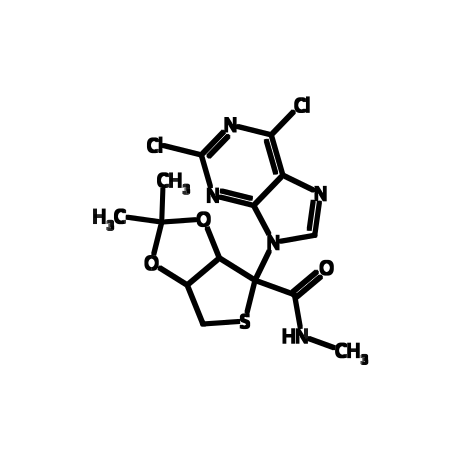 CNC(=O)C1(n2cnc3c(Cl)nc(Cl)nc32)SCC2OC(C)(C)OC21